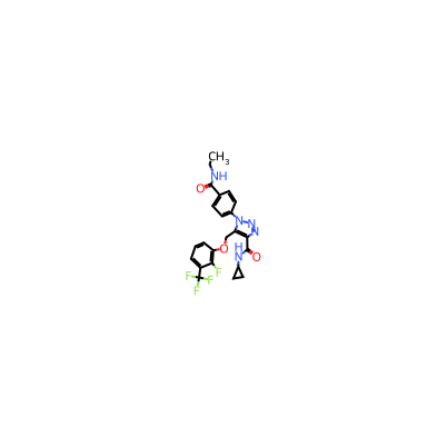 CCNC(=O)c1ccc(-n2nnc(C(=O)NC3CC3)c2COc2cccc(C(F)(F)F)c2F)cc1